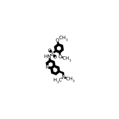 COc1ccc(OC)c(S(=O)(=O)Nc2cnc3ccc(CN(C)C)cc3c2)c1